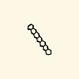 c1ccc2cc3cc4cc5cc6cc7c(cc6cc5cc4cc3cc2c1)CCCC7